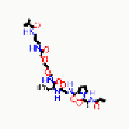 C=CC(=O)N[C@@H](C)C(=O)N1CCC[C@H]1C(=O)NCC(=O)N[C@@H](CC(C)C)C(=O)NCOCCOCC(=O)NCCCNC(=O)C(=C)C